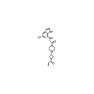 C=CC(=O)N1CC(N2CCN(C(=O)CNc3cc(Cl)cc4cn[nH]c34)CC2)C1